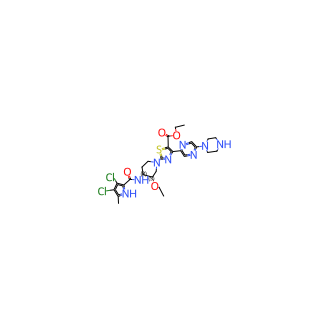 CCOC(=O)c1sc(N2CC[C@@H](NC(=O)c3[nH]c(C)c(Cl)c3Cl)[C@@H](OCC)C2)nc1-c1cnc(N2CCNCC2)cn1